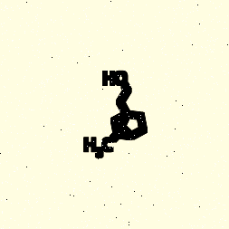 CC1CC2(CCO)CCC1C2